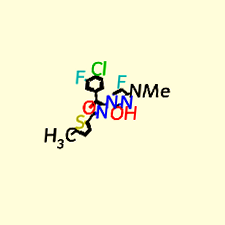 CNC1=NC(O)N(c2nc(-c3ccc(C)s3)oc2-c2ccc(Cl)c(F)c2)C=C1F